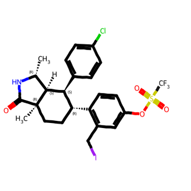 C[C@H]1NC(=O)[C@]2(C)CC[C@@H](c3ccc(OS(=O)(=O)C(F)(F)F)cc3CI)[C@H](c3ccc(Cl)cc3)[C@H]12